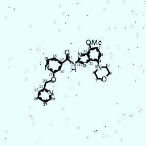 COc1ccc(N2CCOCC2)c2sc(NC(=O)c3ccnc(OCc4ccccn4)c3)nc12